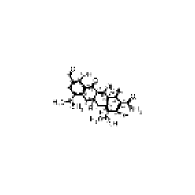 CN(C)c1cc(C=O)c(O)c2c1C[C@H]1C[C@H]3[C@@H](N(C)C)C(O)=C(C(N)=O)C(=O)[C@@]3(O)C(O)=C1C2=O